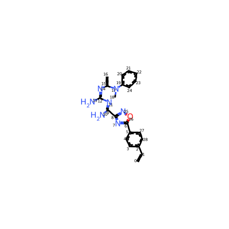 C=Cc1ccc(-c2nc(/C(N)=N/C(N)=N\C(=C)N(C)c3ccccc3)no2)cc1